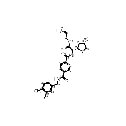 C=CCOC(=O)C(NC(=O)c1ccc(C(=O)NCc2ccc(Cl)c(Cl)c2)cn1)[C@@H]1C[C@H](S)CN1